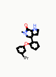 CC(C)c1cccc(Oc2ccccc2-c2cn(C)c(=O)c3[nH]ccc23)c1